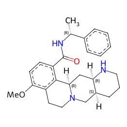 COc1ccc(C(=O)N[C@H](C)c2ccccc2)c2c1CCN1C[C@@H]3CCCN[C@@H]3C[C@H]21